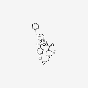 C[C@@H]1CN(CC2CC2)CCN1C(=O)OC[C@H]1CC[C@@H](Cc2ccccc2)CN1S(=O)(=O)c1ccc(Cl)cc1